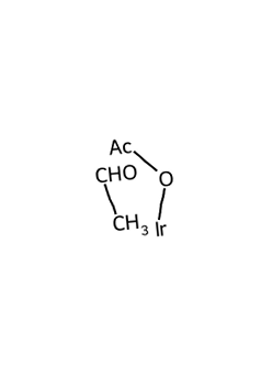 CC(=O)[O][Ir].CC=O